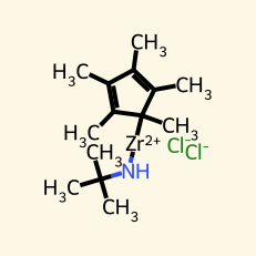 CC1=C(C)[C](C)([Zr+2][NH]C(C)(C)C)C(C)=C1C.[Cl-].[Cl-]